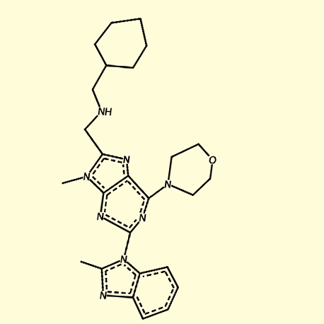 Cc1nc2ccccc2n1-c1nc(N2CCOCC2)c2nc(CNCC3CCCCC3)n(C)c2n1